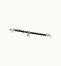 CCCCCCCCCCCCCCCCSNCCCOCCCCOCCCN